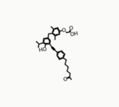 CC(=O)CCCCCc1ccc(C#Cc2cc(Cc3c(C)cc(OCC(=O)O)cc3C)cc(C(C)C)c2O)cc1